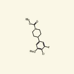 COc1cc(C2CCN(C(=O)OC(C)(C)C)CC2)cc(F)c1Cl